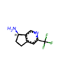 N[C@@H]1CCc2cc(C(F)(F)F)ncc21